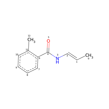 CC=CNC(=O)c1ccccc1C